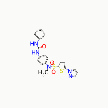 CN(c1ccc(NC(=O)Nc2ccccc2)cc1)S(=O)(=O)C1CC=C(n2cccn2)S1